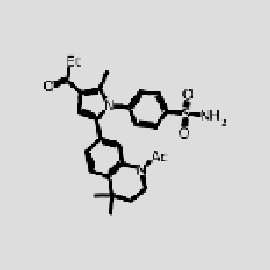 CCC(=O)c1cc(-c2ccc3c(c2)N(C(C)=O)CCC3(C)C)n(-c2ccc(S(N)(=O)=O)cc2)c1C